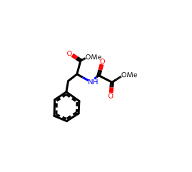 COC(=O)C(=O)NC(Cc1ccccc1)C(=O)OC